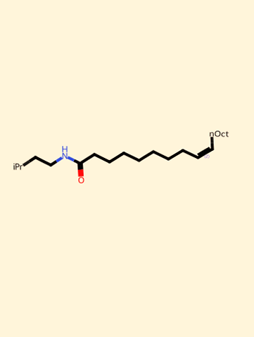 CCCCCCCC/C=C\CCCCCCCC(=O)NCCC(C)C